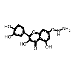 NNOc1cc(O)c2c(=O)c(O)c(-c3ccc(O)c(O)c3)oc2c1